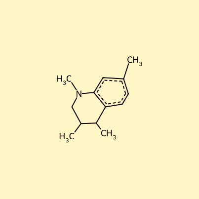 Cc1ccc2c(c1)N(C)CC(C)C2C